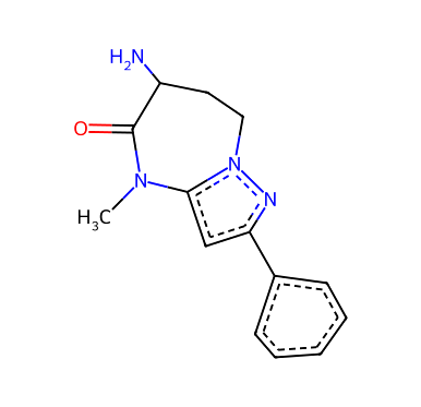 CN1C(=O)C(N)CCn2nc(-c3ccccc3)cc21